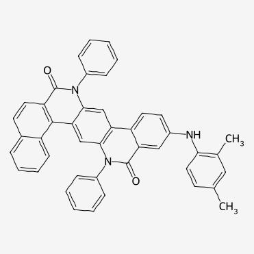 Cc1ccc(Nc2ccc3c(c2)c(=O)n(-c2ccccc2)c2cc4c5c(ccc6ccccc65)c(=O)n(-c5ccccc5)c4cc32)c(C)c1